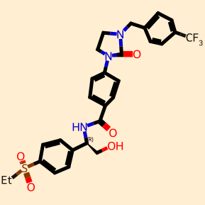 CCS(=O)(=O)c1ccc([C@H](CO)NC(=O)c2ccc(N3CCN(Cc4ccc(C(F)(F)F)cc4)C3=O)cc2)cc1